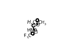 Cc1cccc(C)c1C(=O)N1CCCC(C(=O)Nc2cc(C(F)(F)F)ccc2Cl)C1